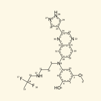 COc1cc(O)cc(N(CCCNCC(C)(F)F)c2ccc3ncc(-c4cn[nH]c4)nc3c2)c1